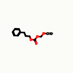 O=[C]OCOC(=O)OCCCc1ccccc1